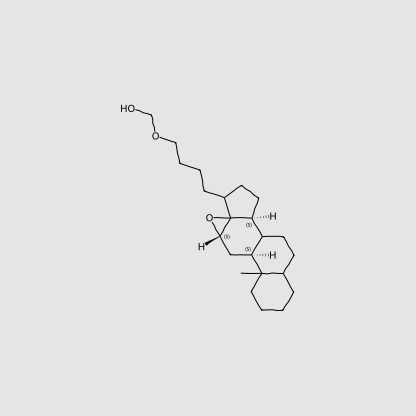 CC12CCCCC1CCC1[C@@H]2C[C@@H]2OC23C(CCCCOCO)CC[C@@H]13